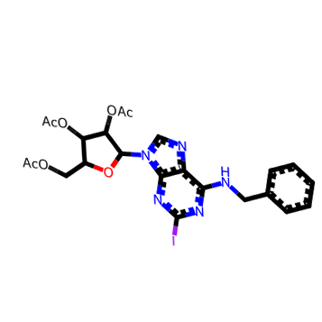 CC(=O)OCC1OC(n2cnc3c(NCc4ccccc4)nc(I)nc32)C(OC(C)=O)C1OC(C)=O